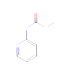 CCOC(=O)[N]c1ccccn1